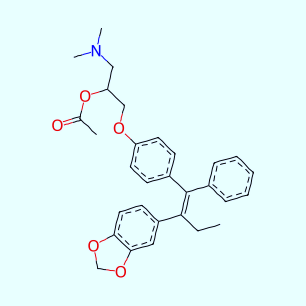 CCC(=C(c1ccccc1)c1ccc(OCC(CN(C)C)OC(C)=O)cc1)c1ccc2c(c1)OCO2